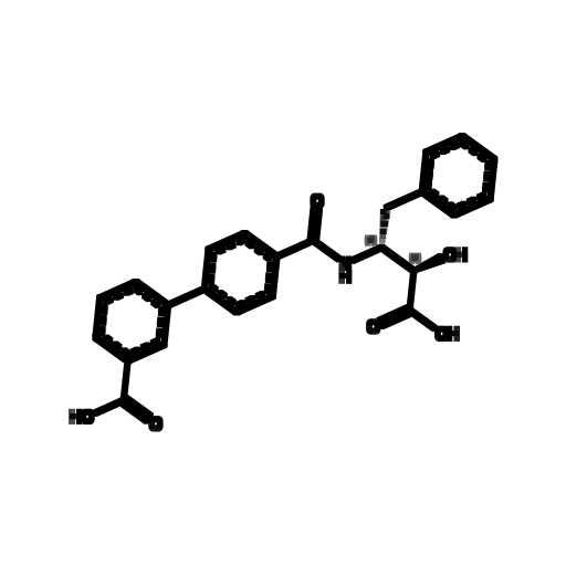 O=C(O)c1cccc(-c2ccc(C(=O)N[C@H](Cc3ccccc3)[C@@H](O)C(=O)O)cc2)c1